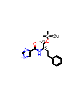 C[C@H](O[Si](C)(C)C(C)(C)C)[C@@H](CCc1ccccc1)NC(=O)c1c[nH]cn1